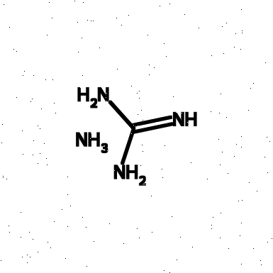 N.N=C(N)N